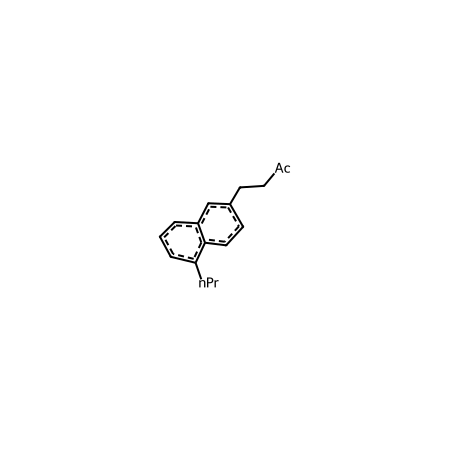 CCCc1cccc2cc(CCC(C)=O)ccc12